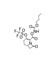 CCCCOC(=O)NOC(=O)C1=C(OS(=O)(=O)C(F)(F)F)CCC2CC(=O)N12